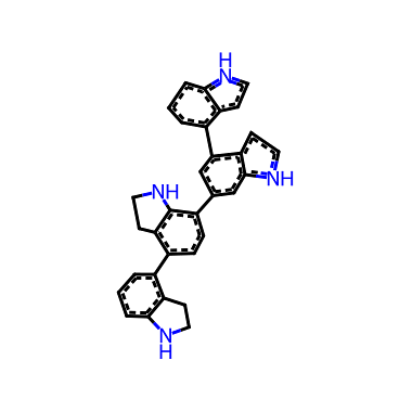 c1cc2c(c(-c3ccc(-c4cc(-c5cccc6[nH]ccc56)c5cc[nH]c5c4)c4c3CCN4)c1)CCN2